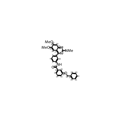 CNc1nc(-c2cccc(NC(=O)c3cccc(OCc4ccccc4)c3)c2)c2cc(OC)c(OC)cc2n1